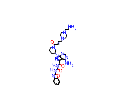 NCCN1CCN(C/C=C/C(=O)N2CCCC(n3nc(C(=O)NC(=O)Nc4nc5ccccc5o4)c4c(N)ncnc43)C2)CC1